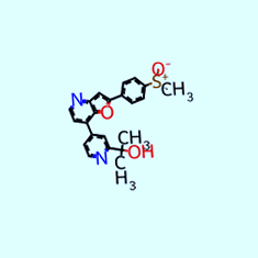 C[S@@+]([O-])c1ccc(-c2cc3nccc(-c4ccnc(C(C)(C)O)c4)c3o2)cc1